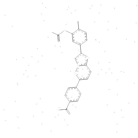 Cc1ccc(-c2cn3nc(-c4ccc(C(N)=O)cc4)ccc3n2)cc1NC(=O)C(C)(C)C